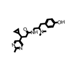 Cc1ncc(C(CC(=O)NCC(Cc2ccc(O)cc2)N(C)C)C2CC2)cn1